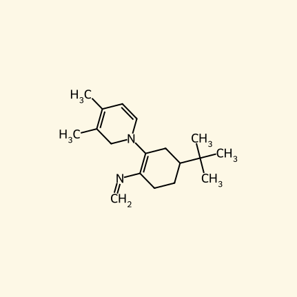 C=NC1=C(N2C=CC(C)=C(C)C2)CC(C(C)(C)C)CC1